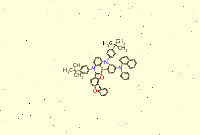 CC(C)(C)c1ccc(N2c3cc(N(c4ccccc4)c4cccc5ccccc45)ccc3B3c4oc5c(ccc6oc7ccccc7c65)c4N(c4ccc(C(C)(C)C)cc4)c4cccc2c43)cc1